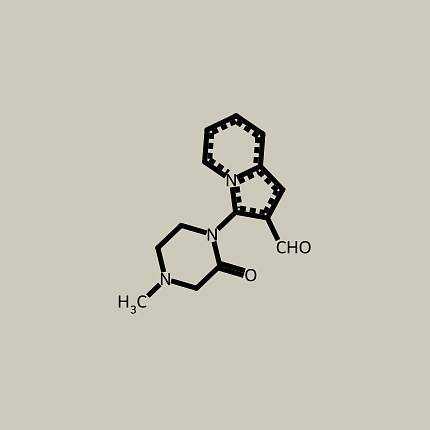 CN1CCN(c2c(C=O)cc3ccccn23)C(=O)C1